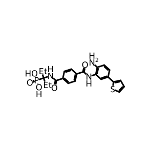 CCC(CC)(NC(=O)c1ccc(C(=O)Nc2cc(-c3cccs3)ccc2N)cc1)P(=O)(O)O